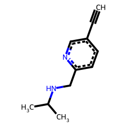 C#Cc1ccc(CNC(C)C)nc1